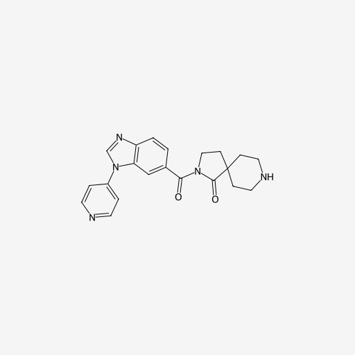 O=C(c1ccc2ncn(-c3ccncc3)c2c1)N1CCC2(CCNCC2)C1=O